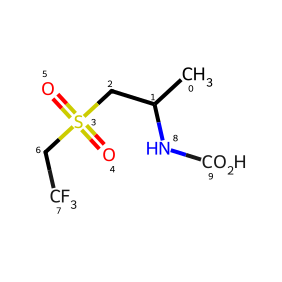 CC(CS(=O)(=O)CC(F)(F)F)NC(=O)O